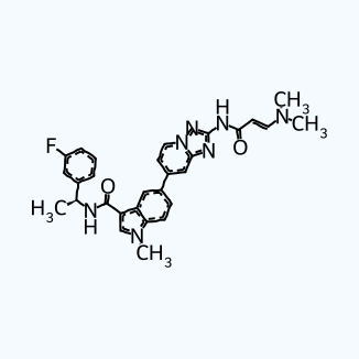 C[C@H](NC(=O)c1cn(C)c2ccc(-c3ccn4nc(NC(=O)/C=C/N(C)C)nc4c3)cc12)c1cccc(F)c1